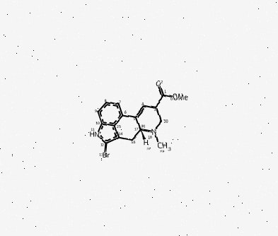 COC(=O)C1C=C2c3cccc4[nH]c(Br)c(c34)C[C@H]2N(C)C1